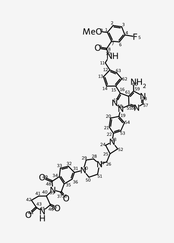 COc1ccc(F)cc1C(=O)NCc1ccc(-c2nn(-c3ccc(N4CC(CN5CCN(c6ccc7c(c6)C(=O)N(C6CCC(=O)NC6=O)C7=O)CC5)C4)cc3)c3ncnc(N)c23)cc1